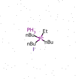 CCCC[P+](CC)(CCCC)CCCC.P.[I-]